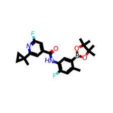 Cc1cc(F)c(NC(=O)c2cc(F)nc(C3(C)CC3)c2)cc1B1OC(C)(C)C(C)(C)O1